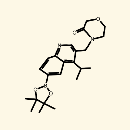 CC(C)c1c(CN2CCOCC2=O)cnc2ccc(B3OC(C)(C)C(C)(C)O3)cc12